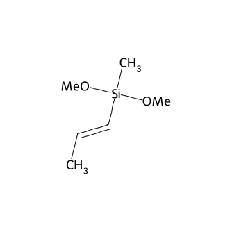 C/C=C/[Si](C)(OC)OC